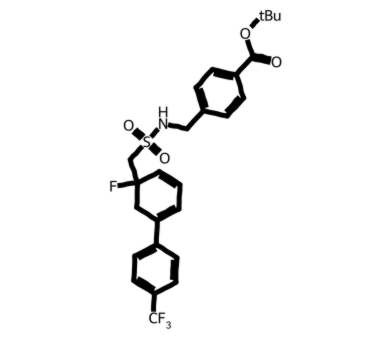 CC(C)(C)OC(=O)c1ccc(CNS(=O)(=O)CC2(F)C=CC=C(c3ccc(C(F)(F)F)cc3)C2)cc1